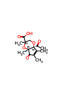 CC(=O)[C@@]12OC[C@@](C)(C(=O)O)O[C@@]1(C)C(=O)C(C)=C2C